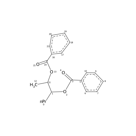 CCCC(OC(=O)c1ccccc1)C(C)OC(=O)c1ccccc1